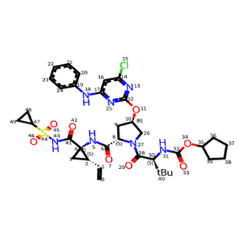 C=C[C@@H]1C[C@]1(NC(=O)[C@@H]1C[C@@H](Oc2nc(Cl)cc(Nc3ccccc3)n2)CN1C(=O)[C@@H](NC(=O)OC1CCCC1)C(C)(C)C)C(=O)NS(=O)(=O)C1CC1